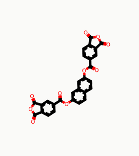 O=C(Oc1ccc2ccc(OC(=O)c3ccc4c(c3)C(=O)OC4=O)cc2c1)c1ccc2c(c1)C(=O)OC2=O